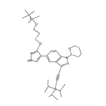 CC(C)[Si](C#Cc1nn(C2CCCCO2)c2ccc(-c3c[nH]nc3OCCCO[Si](C)(C)C(C)(C)C)cc12)(C(C)C)C(C)C